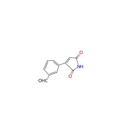 O=[C]c1cccc(C2=CC(=O)NC2=O)c1